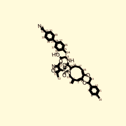 C=C1/C=C2/OC(c3ccc(C)cc3)CO/C2=C/CCC(C(=O)N[C@@H](Cc2ccc(-c3ccc(C#N)cc3)cc2)C(=O)O)N(S(=O)(=O)c2c(C)noc2C)C1